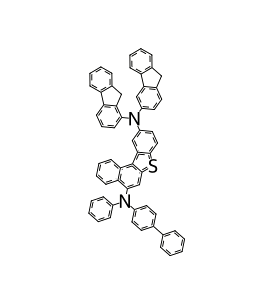 c1ccc(-c2ccc(N(c3ccccc3)c3cc4sc5ccc(N(c6ccc7c(c6)-c6ccccc6C7)c6cccc7c6Cc6ccccc6-7)cc5c4c4ccccc34)cc2)cc1